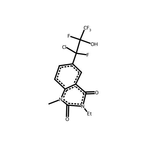 CCn1c(=O)c2cc(C(F)(Cl)C(O)(F)C(F)(F)F)ccc2n(C)c1=O